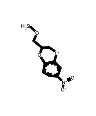 O=[N+]([O-])c1ccc2c(c1)OCC(CO[SiH3])O2